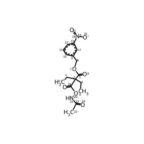 CCC(CC)(C(=O)OCc1cccc([N+](=O)[O-])c1)C(=O)ONC(C)=O